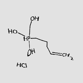 C=CC[PH](O)(O)O.Cl